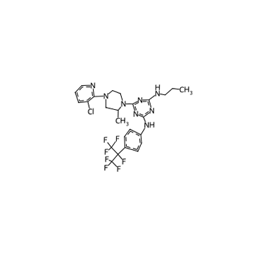 CCCNc1nc(Nc2ccc(C(F)(C(F)(F)F)C(F)(F)F)cc2)nc(N2CCN(c3ncccc3Cl)CC2C)n1